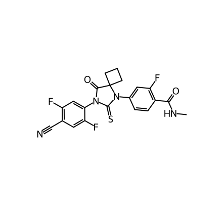 CNC(=O)c1ccc(N2C(=S)N(c3cc(F)c(C#N)cc3F)C(=O)C23CCC3)cc1F